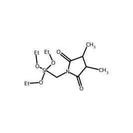 CCO[Si](CN1C(=O)C(C)C(C)C1=O)(OCC)OCC